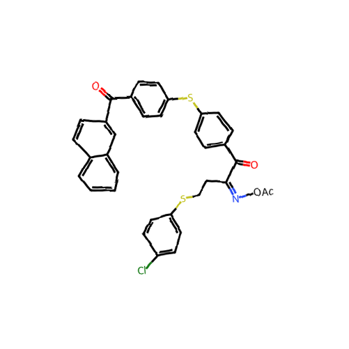 CC(=O)O/N=C(/CCSc1ccc(Cl)cc1)C(=O)c1ccc(Sc2ccc(C(=O)c3ccc4ccccc4c3)cc2)cc1